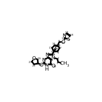 CCCn1c(C23CCC(COc4nccs4)(CC2)CC3)nc2nc(OC3CCOC3)[nH]c(=O)c21